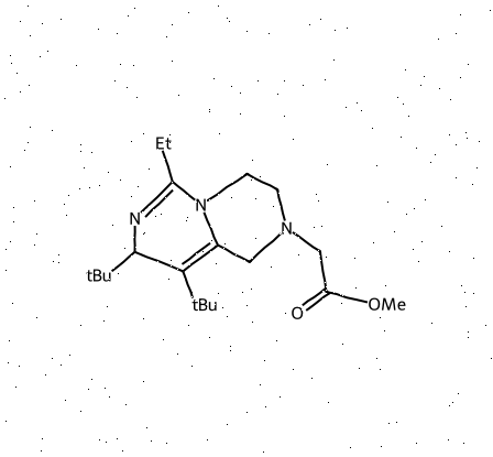 CCC1=NC(C(C)(C)C)C(C(C)(C)C)=C2CN(CC(=O)OC)CCN12